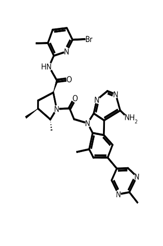 Cc1ncc(-c2cc(C)c3c(c2)c2c(N)ncnc2n3CC(=O)N2[C@H](C)[C@@H](C)C[C@H]2C(=O)Nc2nc(Br)ccc2C)cn1